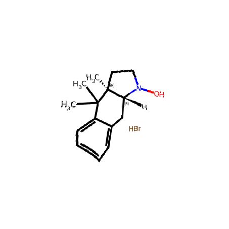 Br.CC1(C)c2ccccc2C[C@H]2N(O)CC[C@@]21C